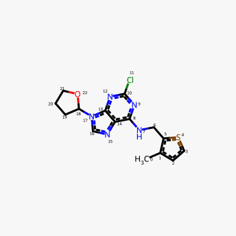 Cc1ccsc1CNc1nc(Cl)nc2c1ncn2C1CCCO1